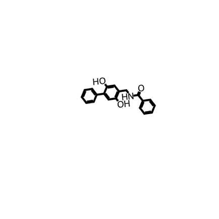 O=C(NCc1cc(O)c(-c2ccccc2)cc1O)c1ccccc1